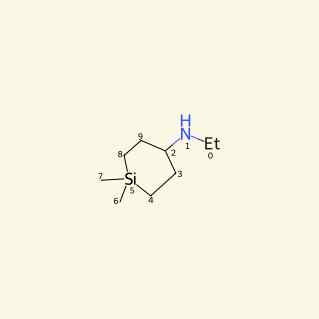 CCNC1CC[Si](C)(C)CC1